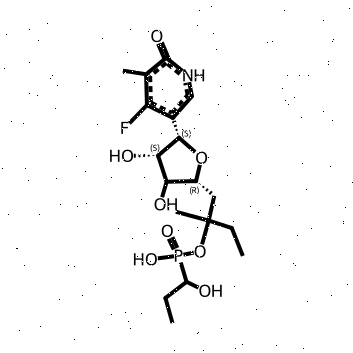 CCC(O)P(=O)(O)OC(C)(CC)C[C@H]1O[C@@H](c2c[nH]c(=O)c(C)c2F)[C@@H](O)C1O